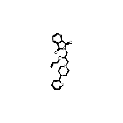 C=CCOC(CN1CCN(c2ccccn2)CC1)CN1C(=O)c2ccccc2C1=O